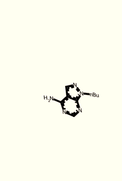 CCCCn1ncc2c(N)ncnc21